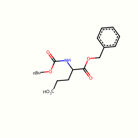 CCCCOC(=O)NC(CCC(=O)O)C(=O)OCc1ccccc1